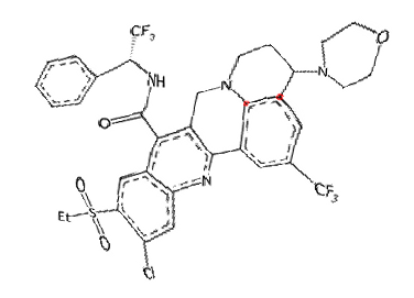 CCS(=O)(=O)c1cc2c(C(=O)N[C@H](c3ccccc3)C(F)(F)F)c(CN3CCC(N4CCOCC4)CC3)c(-c3cccc(C(F)(F)F)c3)nc2cc1Cl